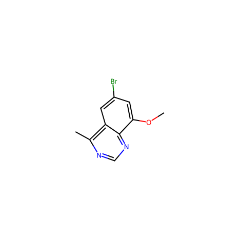 COc1cc(Br)cc2c(C)ncnc12